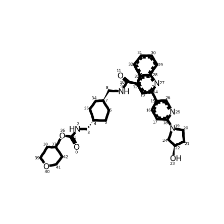 O=C(NC[C@H]1CC[C@H](CNC(=O)c2cc(-c3ccc(N4CC[C@@H](O)C4)nc3)nc3ccccc23)CC1)OC1CCOCC1